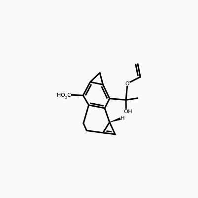 C=COC(C)(O)c1c2c(c(C(=O)O)c3c1[C@@H]1C=C1CC3)C2